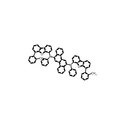 Cc1ccccc1-c1cccc2c1oc1c(N(c3ccccc3)c3cc4c5ccccc5c(N(c5ccccc5)c5cccc6c5oc5c(-c7ccccc7C)cccc56)cc4c4ccccc34)cccc12